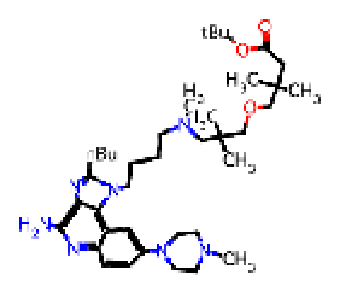 CCCCc1nc2c(N)nc3ccc(N4CCN(C)CC4)cc3c2n1CCCCN(C)CC(C)(C)COCC(C)(C)CC(=O)OC(C)(C)C